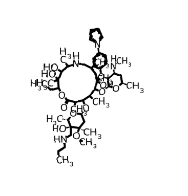 CCCNC[C@]1(O)[C@H](C)O[C@@H](OC2C(C)C(=O)OC(CC)C(C)(O)C(O)C(C)NCC(C)CC(C)(O)C(O[C@@H]3O[C@H](C)C[C@H](NC)[C@H]3Oc3ccc(-n4cccc4)cc3)C2C)C[C@@]1(C)OC